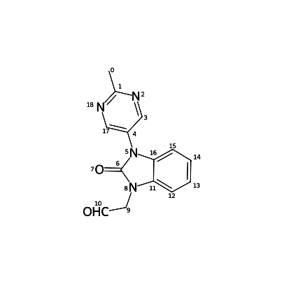 Cc1ncc(-n2c(=O)n(CC=O)c3ccccc32)cn1